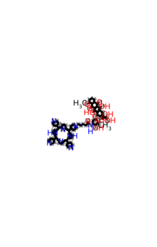 COc1cccc2c1C(=O)c1c(O)c3c(c(O)c1C2=O)C[C@@](O)(C(=O)CO)C[C@@H]3O[C@H]1C[C@@H](NC(=O)CCCC[n+]2ccc(-c3c4nc(c(-c5ccncc5)c5ccc([nH]5)c(-c5ccncc5)c5nc(c(-c6ccncc6)c6ccc3[nH]6)C=C5)C=C4)cc2)[C@H](O)[C@H](C)O1